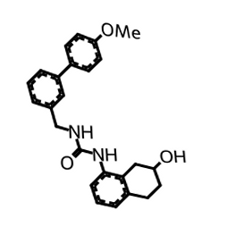 COc1ccc(-c2cccc(CNC(=O)Nc3cccc4c3CC(O)CC4)c2)cc1